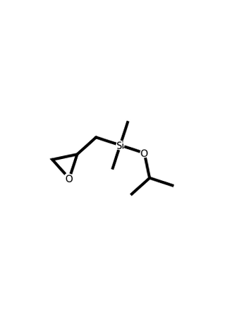 CC(C)O[Si](C)(C)CC1CO1